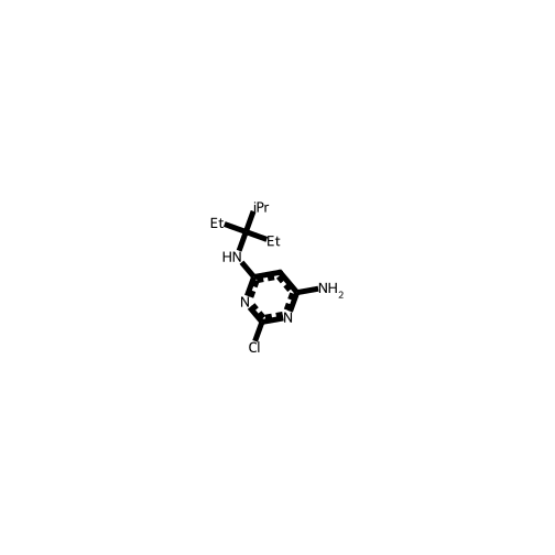 CCC(CC)(Nc1cc(N)nc(Cl)n1)C(C)C